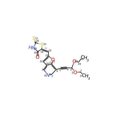 CCOC(C#Cc1cncc2cc(/C=C3/SC(=S)NC3=O)oc12)OCC